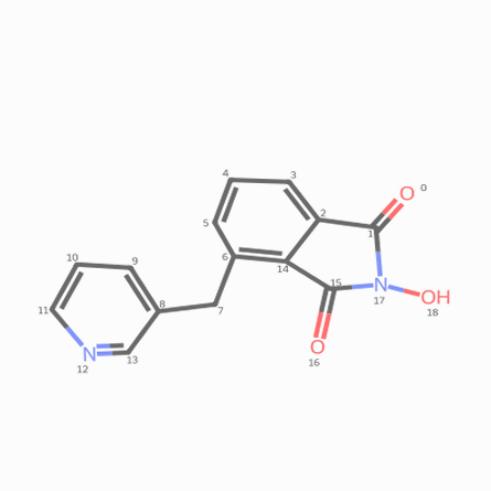 O=C1c2cccc(Cc3cccnc3)c2C(=O)N1O